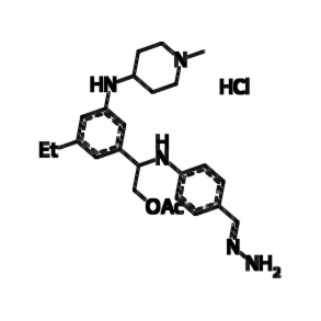 CCc1cc(NC2CCN(C)CC2)cc(C(COC(C)=O)Nc2ccc(C=NN)cc2)c1.Cl